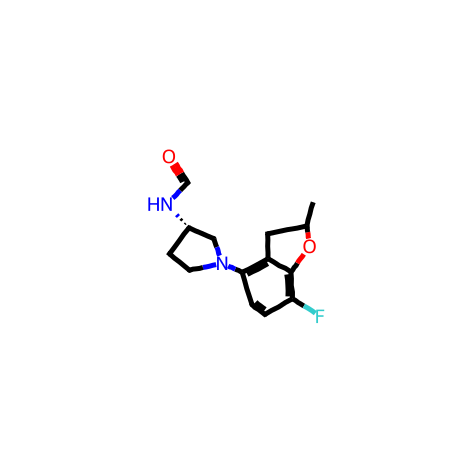 CC1Cc2c(N3CC[C@H](NC=O)C3)ccc(F)c2O1